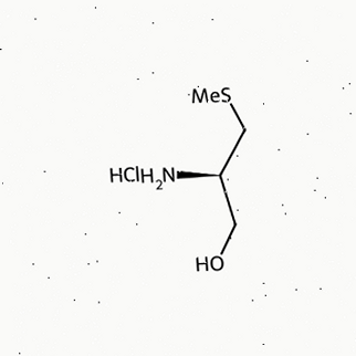 CSC[C@H](N)CO.Cl